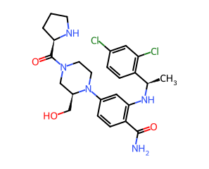 C[C@@H](Nc1cc(N2CCN(C(=O)[C@H]3CCCN3)C[C@@H]2CO)ccc1C(N)=O)c1ccc(Cl)cc1Cl